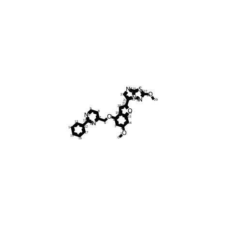 COc1cc(OCc2ccnc(-c3ccccc3)n2)c2cc(-c3cnc4sc(OC)nn34)oc2c1